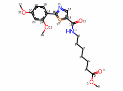 COC(=O)CCCCCCNC(=O)c1cnc(-c2ccc(OC)cc2OC)s1